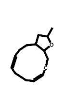 CC1CC2CCC=CCCC=CCCC2O1